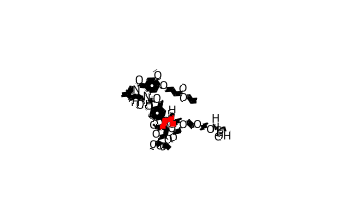 C=CCOC(=O)CCCOc1cc2c(cc1OC)C(=O)N1C=C(C)C[C@H]1C(O)N2C(=O)OCc1ccc(O[C@@H]2O[C@H](C(=O)OC)[C@@H](OC(C)=O)[C@H](OC(C)=O)[C@H]2OC(C)=O)c(C(=O)NCCOCCOCCONB(C)O)c1